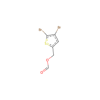 O=COCc1cc(Br)c(Br)s1